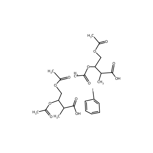 CC(=O)OCC(OC(C)=O)C(C)C(=O)O.CC(=O)OCC(OC(C)=O)C(C)C(=O)O.Ic1ccccc1